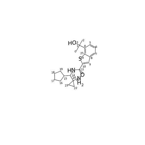 CC(C)(O)c1cccc2cc(C(=O)NC(C3CCCC3)C3(N)CC3)sc12